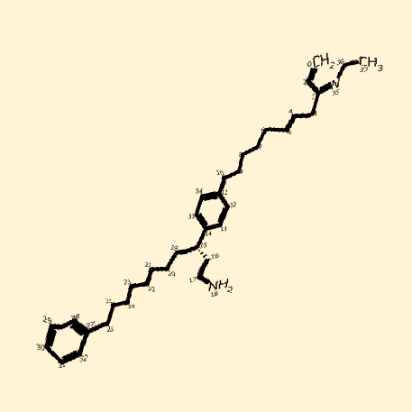 C=C/C(CCCCCCCCc1ccc([C@H](CCN)CCCCCCCCc2ccccc2)cc1)=N\CC